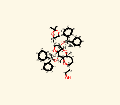 CC1(C)OC[C@@H](C[C@H]2O[C@H]3[C@@H](O[Si](c4ccccc4)(c4ccccc4)C(C)(C)C)[C@H]4O[C@@H](CCO)CC[C@@H]4O[C@H]3[C@H]2O[Si](c2ccccc2)(c2ccccc2)C(C)(C)C)O1